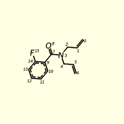 C=CCN(CC=C)C(=O)c1ccccc1F